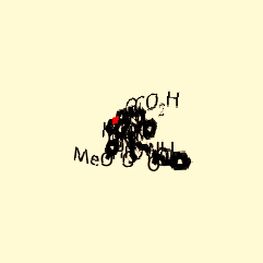 COc1ccc([C@H](c2ccccc2)[C@H](NC(=O)[C@H](CCCCNC(=O)OCc2ccccc2)NS(C)(=O)=O)P(=O)(O)CC2(C(=O)N[C@@H](Cc3c[nH]c4ccccc34)C(=O)O)CCCC2)cc1